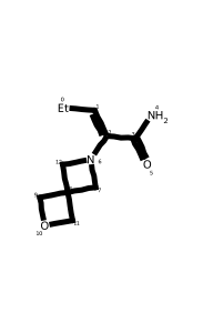 CC/C=C(/C(N)=O)N1CC2(COC2)C1